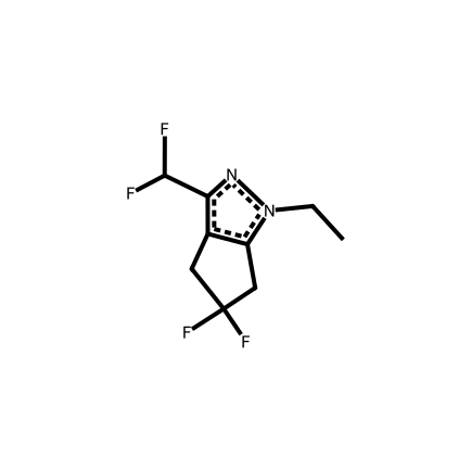 CCn1nc(C(F)F)c2c1CC(F)(F)C2